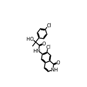 CC(O)(C(=O)Nc1cc2cc[nH]c(=O)c2cc1Cl)c1ccc(Cl)cc1